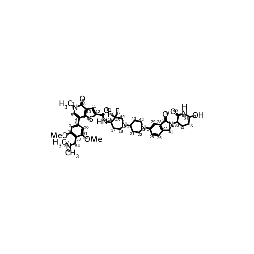 COc1cc(-c2cn(C)c(=O)c3cc(C(=O)NC4CCN(C5CCN(c6ccc7c(c6)C(=O)N(C6CCC(O)NC6=O)C7)CC5)CC4(F)F)sc23)cc(OC)c1CN(C)C